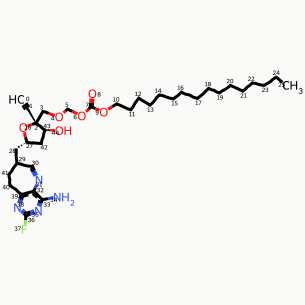 C#C[C@]1(COCOC(=O)OCCCCCCCCCCCCCCCC)O[C@@H](CC2C=Nc3c(N)nc(F)nc3CC2)C[C@@H]1O